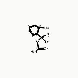 CC[C@@](O)(OC(N)=O)c1ccccc1Cl